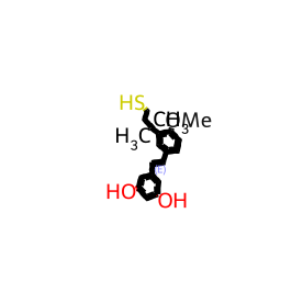 COc1ccc(/C=C/c2cc(O)cc(O)c2)cc1C(C)(C)CCS